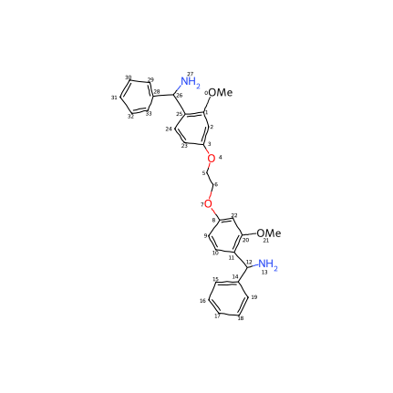 COc1cc(OCCOc2ccc(C(N)c3ccccc3)c(OC)c2)ccc1C(N)c1ccccc1